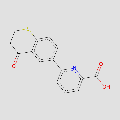 O=C(O)c1cccc(-c2ccc3c(c2)C(=O)CCS3)n1